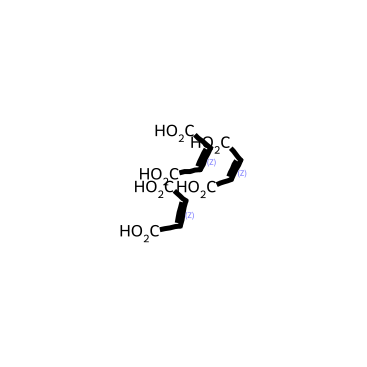 O=C(O)/C=C\C(=O)O.O=C(O)/C=C\C(=O)O.O=C(O)/C=C\C(=O)O